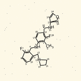 Cc1c(NCc2c(F)cccc2CN2CCC2)ccc(SNc2ccon2)c1F